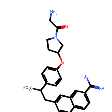 N=C(N)c1ccc2ccc(CC(C(=O)O)c3ccc(OC4CCN(C(=O)CN)C4)cc3)cc2c1